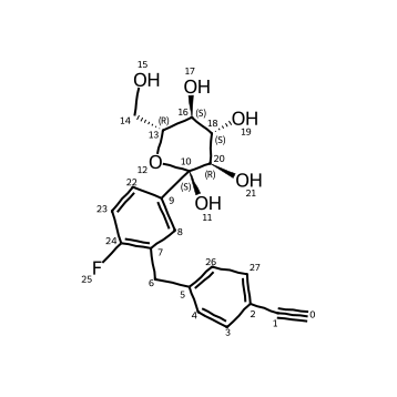 C#Cc1ccc(Cc2cc([C@]3(O)O[C@H](CO)[C@@H](O)[C@H](O)[C@H]3O)ccc2F)cc1